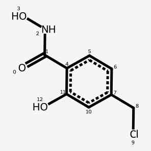 O=C(NO)c1ccc(CCl)cc1O